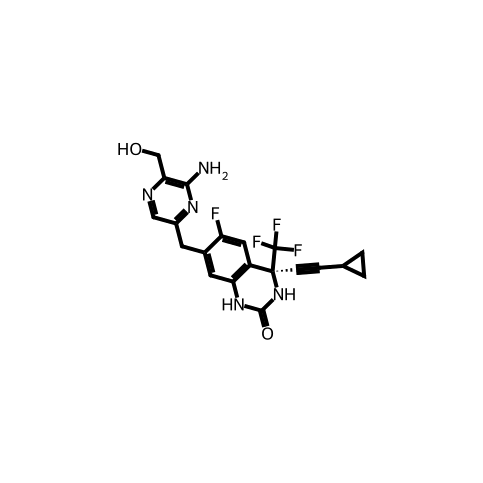 Nc1nc(Cc2cc3c(cc2F)[C@@](C#CC2CC2)(C(F)(F)F)NC(=O)N3)cnc1CO